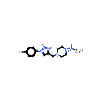 CCOC(=O)NN1CCN(Cc2cn(-c3ccc(Cl)cc3)nn2)CC1